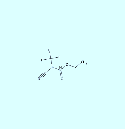 CCO[PH](=O)C(C#N)C(F)(F)F